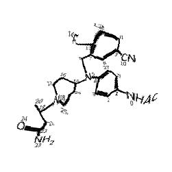 CC(=O)Nc1ccc(N(Cc2cc(C#N)ccc2F)C2CCN(C(C)CC(N)=O)CC2)cc1